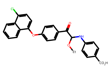 CCOC(Nc1ccc(C(=O)O)cc1)C(=O)c1ccc(Oc2ccc(Cl)c3ccccc23)cc1